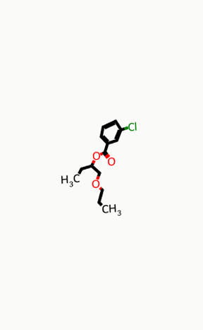 CCCOCC(CC)OC(=O)c1cccc(Cl)c1